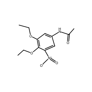 CCOc1cc(NC(C)=O)cc([N+](=O)[O-])c1OCC